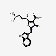 CN(C)CCN(C)C1=C(C(=O)O)C(=O)/C(=C/c2c[nH]c3ncccc23)O1